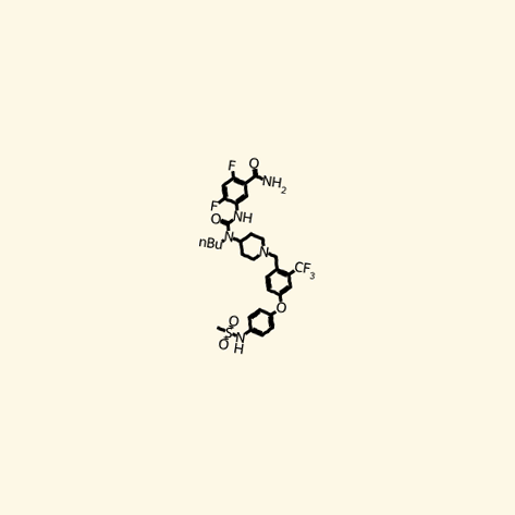 CCCCN(C(=O)Nc1cc(C(N)=O)c(F)cc1F)C1CCN(Cc2ccc(Oc3ccc(NS(C)(=O)=O)cc3)cc2C(F)(F)F)CC1